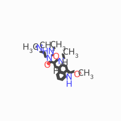 CCCN1CC(C(=O)N(CCCN(C)C)C(=O)NCC)C[C@@H]2c3cccc4[nH]c(COC)c(c34)C[C@H]21